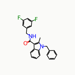 Cc1c(C(=O)NCc2cc(F)cc(F)c2)c2ccccc2n1Cc1ccccc1